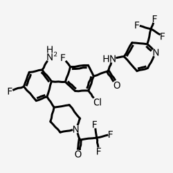 Nc1cc(F)cc(C2CCN(C(=O)C(F)(F)F)CC2)c1-c1cc(Cl)c(C(=O)Nc2ccnc(C(F)(F)F)c2)cc1F